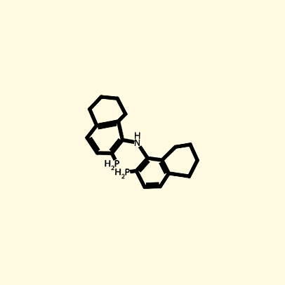 Pc1ccc2c(c1Nc1c(P)ccc3c1CCCC3)CCCC2